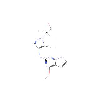 CCOc1nc(Nc2cnn(C(C)(C)CO)c2C)nc2[nH]ccc12